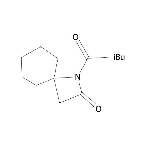 CCC(C)C(=O)N1C(=O)CC12CCCCC2